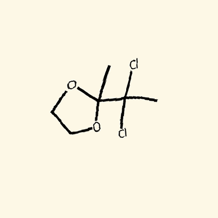 CC(Cl)(Cl)C1(C)OCCO1